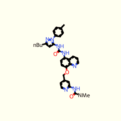 CCCCc1cc(NC(=O)Nc2ccc(OCc3ccnc(NC(=O)NC)c3)c3ncccc23)n(-c2ccc(C)cc2)n1